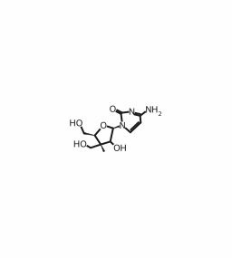 C[C@]1(CO)C(O)[C@H](n2ccc(N)nc2=O)O[C@@H]1CO